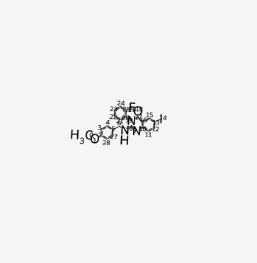 COc1ccc(CNc2nc3ccc(I)cc3c(=O)n2-c2ccccc2F)cc1